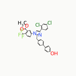 COC(=O)c1cc(-n2cc(-c3ccc(Cl)cc3Cl)nc2Cc2ccc(-c3ccc(O)cc3)cc2)ccc1C(F)(F)F